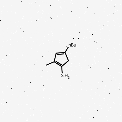 CCCCC1=CC(C)=C([SiH3])C1